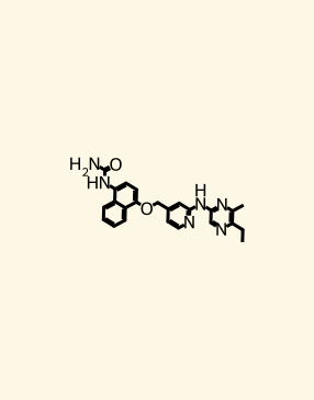 CCc1ncc(Nc2cc(COc3ccc(NC(N)=O)c4ccccc34)ccn2)nc1C